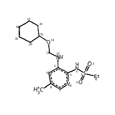 CCS(=O)(=O)Nc1ncc(C)cc1NCOC1CCCCC1